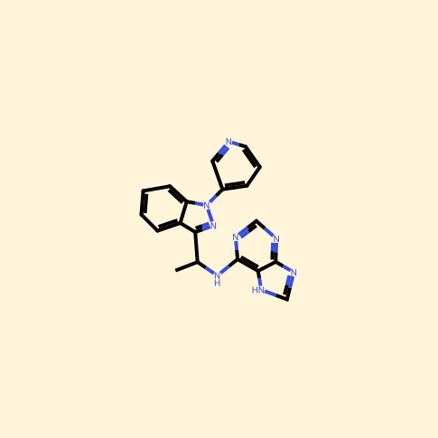 CC(Nc1ncnc2nc[nH]c12)c1nn(-c2cccnc2)c2ccccc12